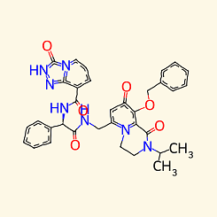 CC(C)N1CCn2c(CNC(=O)[C@H](NC(=O)c3cccn4c(=O)[nH]nc34)c3ccccc3)cc(=O)c(OCc3ccccc3)c2C1=O